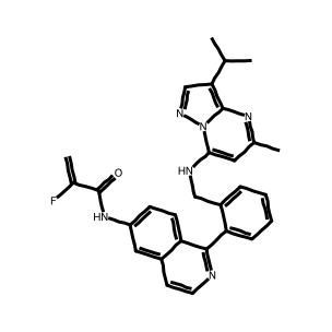 C=C(F)C(=O)Nc1ccc2c(-c3ccccc3CNc3cc(C)nc4c(C(C)C)cnn34)nccc2c1